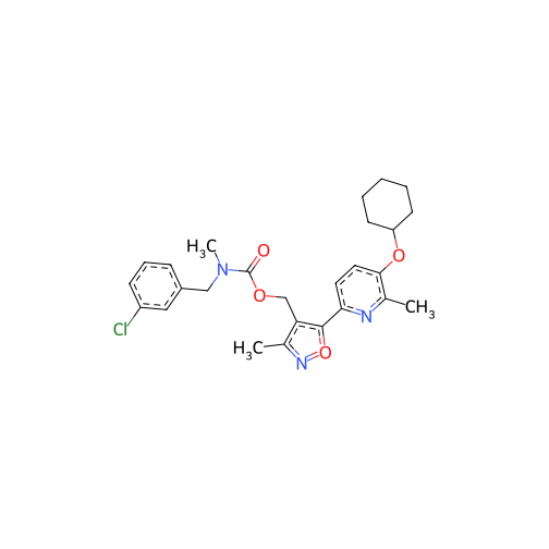 Cc1nc(-c2onc(C)c2COC(=O)N(C)Cc2cccc(Cl)c2)ccc1OC1CCCCC1